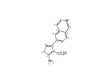 CCOC(=O)c1c(-c2ccc3cnccc3c2)csc1N